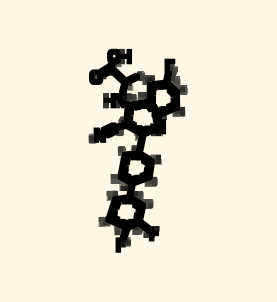 CC(Nc1c(C#N)c(-c2ccc(-c3ccc(F)c(F)c3)cc2)nc2ccc(F)cc12)C(=O)O